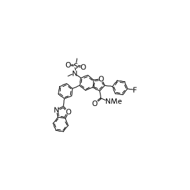 CNC(=O)c1c(-c2ccc(F)cc2)oc2cc(N(C)S(C)(=O)=O)c(-c3cccc(-c4nc5ccccc5o4)c3)cc12